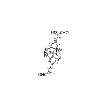 CC(C)(c1c(Br)cc(OCC(O)C=O)cc1Br)c1c(Br)cc(OCC(O)C=O)cc1Br